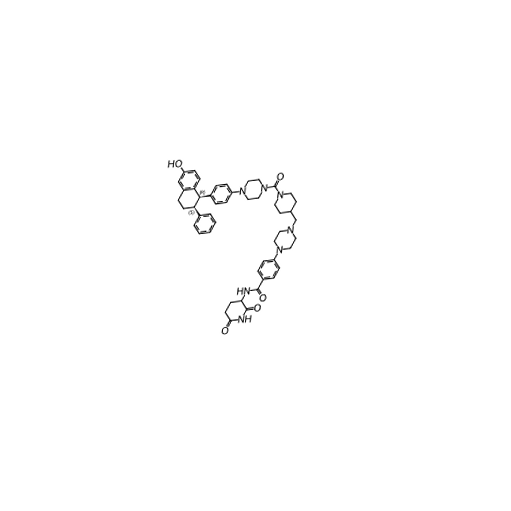 O=C1CCC(NC(=O)c2ccc(N3CCN(CC4CCN(C(=O)N5CCN(c6ccc([C@@H]7c8ccc(O)cc8CC[C@@H]7c7ccccc7)cc6)CC5)CC4)CC3)cc2)C(=O)N1